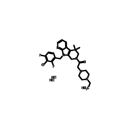 CC1(C)CN(C(=O)CN2CCN(CC(=O)O)CC2)Cc2c1c1cccnc1n2Cc1ccc(F)c(Cl)c1F.Cl.Cl